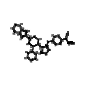 COC(=O)c1ccc(Cn2ccnc2C2CCN(c3nc4ccccc4o3)CC2c2ccccc2)cc1